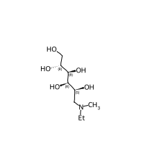 CCN(C)C[C@H](O)[C@@H](O)[C@H](O)[C@H](O)CO